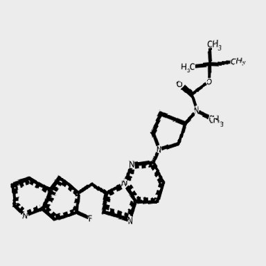 CN(C(=O)OC(C)(C)C)C1CCN(c2ccc3ncc(Cc4cc5cccnc5cc4F)n3n2)C1